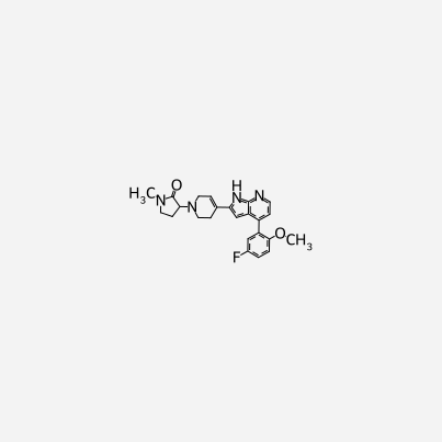 COc1ccc(F)cc1-c1ccnc2[nH]c(C3=CCN(C4CCN(C)C4=O)CC3)cc12